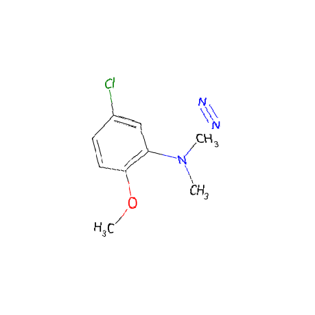 COc1ccc(Cl)cc1N(C)C.N#N